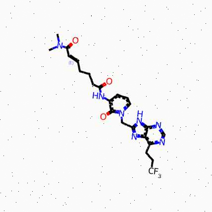 CN(C)C(=O)/C=C/CC[CH]C(=O)Nc1cccn(Cc2nc3c(CCC(F)(F)F)ncnc3[nH]2)c1=O